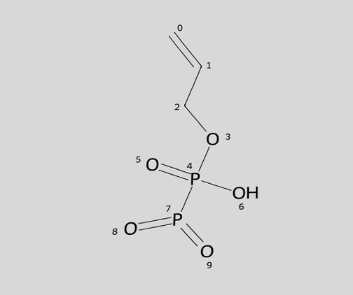 C=CCOP(=O)(O)P(=O)=O